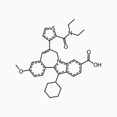 CCN(CC)C(=O)c1sccc1C1=Cc2cc(OC)ccc2-c2c(C3CCCCC3)c3ccc(C(=O)O)cc3n2C1